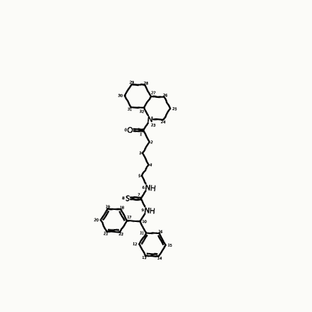 O=C(CCCCNC(=S)NC(c1ccccc1)c1ccccc1)N1CCCC2CCCCC21